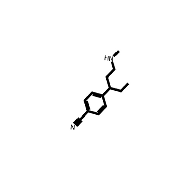 CCC(CCNC)c1ccc(C#N)cc1